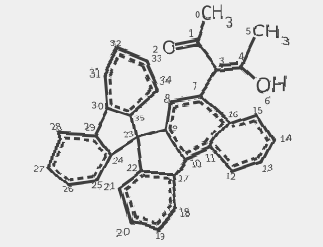 CC(=O)C(=C(C)O)c1cc2c(c3ccccc13)-c1ccccc1C21c2ccccc2-c2ccccc21